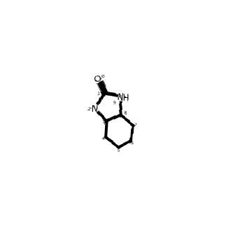 O=C1[N]C2CCCCC2N1